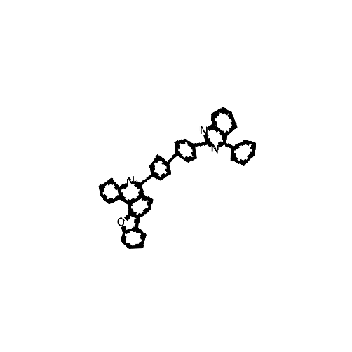 c1ccc(-c2nc(-c3ccc(-c4ccc(-c5nc6ccccc6c6c5ccc5c7ccccc7oc56)cc4)cc3)nc3ccccc23)cc1